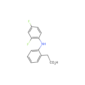 O=C(O)Cc1ccccc1Nc1ccc(F)cc1F